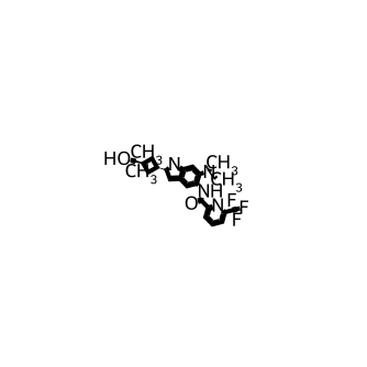 CN(C)c1cc2c(cc1NC(=O)c1cccc(C(F)(F)F)n1)=CC([C@H]1C[C@H](C(C)(C)O)C1)N=2